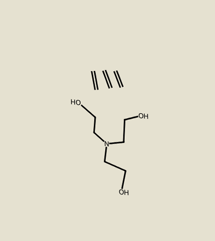 C=C.C=C.C=C.OCCN(CCO)CCO